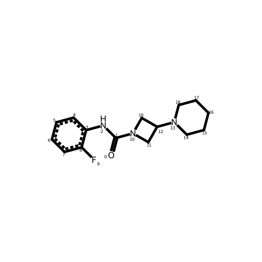 O=C(Nc1ccccc1F)N1CC(N2CCCCC2)C1